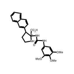 COc1cc(NC(=O)N[C@]2(C(=O)O)NCCC2c2ccc3ccccc3c2)cc(OC)c1OC